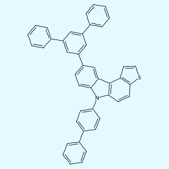 c1ccc(-c2ccc(-n3c4ccc(-c5cc(-c6ccccc6)cc(-c6ccccc6)c5)cc4c4c5ccsc5ccc43)cc2)cc1